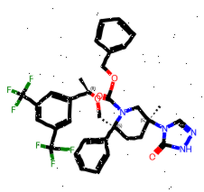 C[C@@H](OC[C@@]1(c2ccccc2)CC[C@](C)(n2cn[nH]c2=O)CN1C(=O)OCc1ccccc1)c1cc(C(F)(F)F)cc(C(F)(F)F)c1